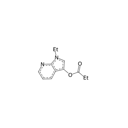 CCC(=O)Oc1cn(CC)c2ncccc12